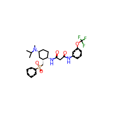 CC(C)N(C)[C@@H]1CC[C@H](NC(=O)CC(=O)Nc2cccc(OC(F)(F)F)c2)[C@H](CS(=O)(=O)c2ccccc2)C1